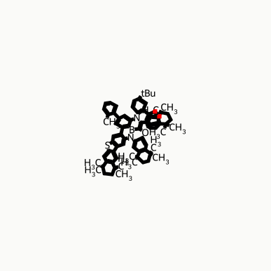 Cc1ccccc1-c1cc2c3c(c1)N(c1ccc(C(C)(C)C)cc1-c1ccccc1)c1c(oc4cc5c(cc14)C(C)(C)CCC5(C)C)B3N(c1ccc3c(c1)C(C)(C)CCC3(C)C)c1cc3c(cc1-2)sc1cc2c(cc13)C(C)(C)CCC2(C)C